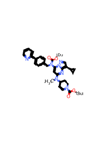 CN(c1cc(N(Cc2ccc(-c3ccccn3)cc2)C(=O)OC(C)(C)C)n2ncc(C3CC3)c2n1)C1CCN(C(=O)OC(C)(C)C)CC1